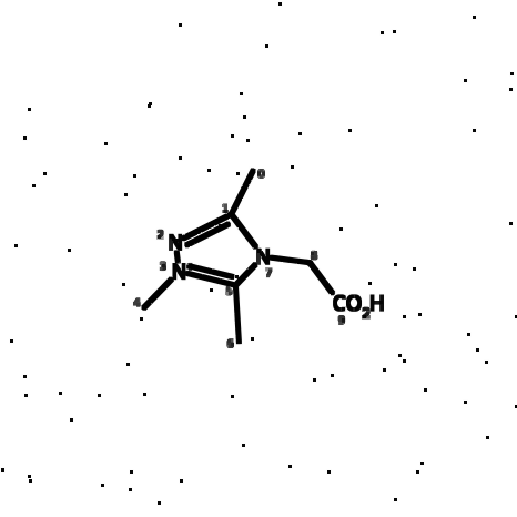 Cc1n[n+](C)c(C)n1CC(=O)O